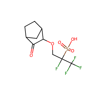 O=C1C2CCC(C2)C1OCC(F)(C(F)(F)F)S(=O)(=O)O